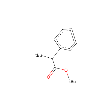 CC(C)(C)OC(=O)C(c1ccccc1)C(C)(C)C